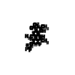 Cc1cc(N2C(=O)OCC2[C@@H](C)O)nc(N[C@@H](C)c2cc(F)c(OCC(F)(F)F)cc2F)n1